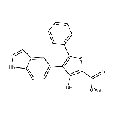 COC(=O)c1sc(-c2ccccc2)c(-c2ccc3[nH]ccc3c2)c1N